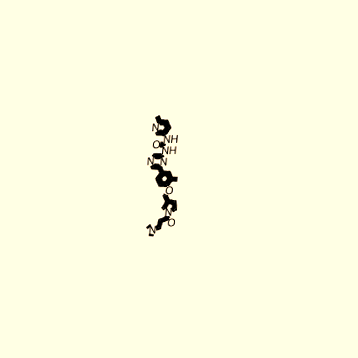 Cc1ccc(NC(=O)Nc2cncc(-c3ccc(OCC4CCN(C(=O)CCN(C)C)C4)c(C)c3)n2)cn1